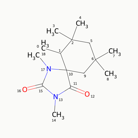 CC1C(C)(C)CC(C)(C)CC12C(=O)N(C)C(=O)N2C